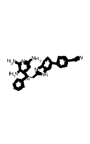 N#Cc1ccc(-c2ccc3nc(C[C@H](c4ccccc4)c4cc(N)nc(N)c4N)[nH]c3c2)cc1